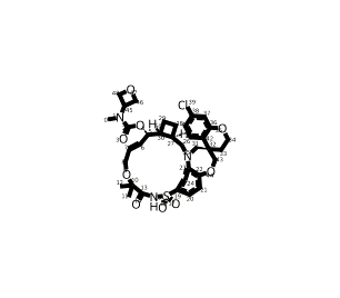 CN(C(=O)O[C@H]1/C=C/COC(C)(C)C(=O)NS(=O)(=O)c2ccc3c(c2)N(C[C@@H]2CC[C@H]21)C[C@@]1(CCOc2cc(Cl)ccc21)CO3)C1COC1